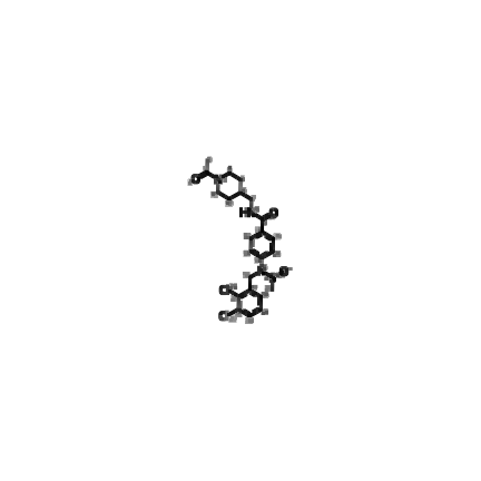 CC(=O)N1CCC(CNC(=O)c2ccc(N(Cc3cccc(Cl)c3Cl)[S+](C)[O-])cc2)CC1